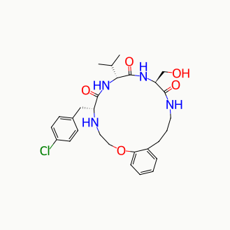 CC(C)[C@H]1NC(=O)[C@@H](Cc2ccc(Cl)cc2)NCCOc2ccccc2CCCNC(=O)[C@H](CO)NC1=O